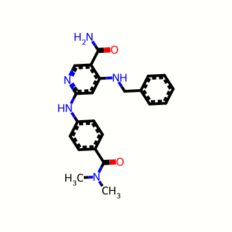 CN(C)C(=O)c1ccc(Nc2cc(NCc3ccccc3)c(C(N)=O)cn2)cc1